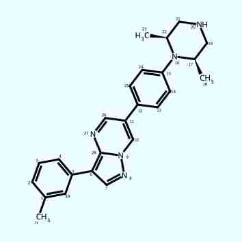 Cc1cccc(-c2cnn3cc(-c4ccc(N5[C@H](C)CNC[C@@H]5C)cc4)cnc23)c1